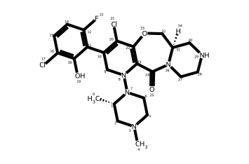 C[C@H]1CN(C)CCN1N1CC(c2c(F)ccc(Cl)c2O)=C(Cl)C2=C1C(=O)N1CCNC[C@@H]1CO2